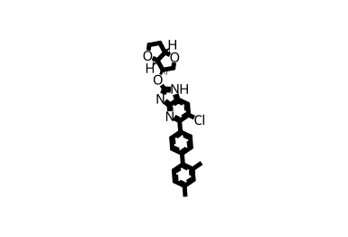 Cc1ccc(-c2ccc(-c3nc4nc(O[C@@H]5CO[C@@H]6CCO[C@@H]65)[nH]c4cc3Cl)cc2)c(C)c1